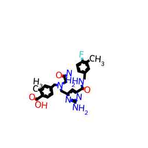 Cc1cc(CNC(=O)c2cc(CN(CC(N)=O)Cc3ccc(C(=O)O)c(C)c3)nc(N)n2)ccc1F